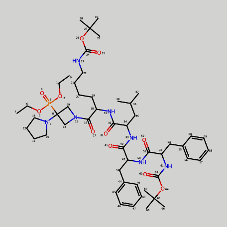 CCOP(=O)(OCC)C1(N2CCCC2)CN(C(=O)C(CCCCNC(=O)OC(C)(C)C)NC(=O)C(CC(C)C)NC(=O)C(Cc2ccccc2)NC(=O)C(Cc2ccccc2)NC(=O)OC(C)(C)C)C1